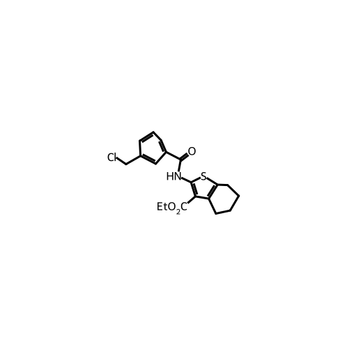 CCOC(=O)c1c(NC(=O)c2cccc(CCl)c2)sc2c1CCCC2